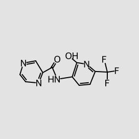 O=C(Nc1ccc(C(F)(F)F)nc1O)c1cnccn1